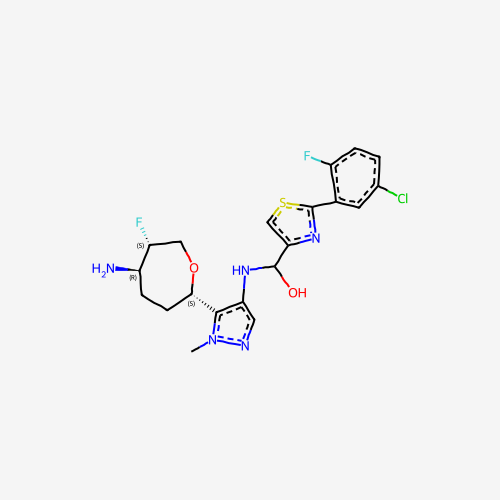 Cn1ncc(NC(O)c2csc(-c3cc(Cl)ccc3F)n2)c1[C@@H]1CC[C@@H](N)[C@H](F)CO1